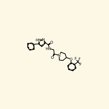 O=C(NCC(=O)N1CCC(Oc2ccccc2C(F)(F)F)CC1)c1cc(-c2ccccc2)[nH]n1